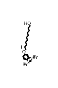 CC(C)n1c[n+](C(C)C)c2cc(OCCCCCCCCCCCO)ccc21.[I-]